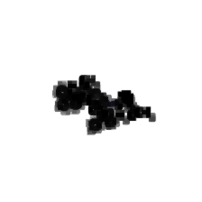 CO/N=C(/C(=O)NC1C(=O)N2C(C(=O)OC(c3ccccc3)c3ccccc3)=C(/C=C/Sc3nnnn3CCN(C)C)CSC12)c1csc(NC(c2ccccc2)(c2ccccc2)c2ccccc2)n1